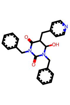 O=C1C(Cc2ccncc2)C(O)N(Cc2ccccc2)C(=O)N1Cc1ccccc1